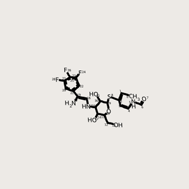 C/C=C(\C=C/NC=O)SC1OC(CO)C(O)C(N/C=C(\N)c2cc(F)c(F)c(F)c2)C1O